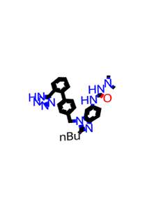 CCCCc1nc2ccc(NC(=O)NN(C)C)cc2n1Cc1ccc(-c2ccccc2-c2nnn[nH]2)cc1